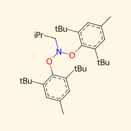 Cc1cc(C(C)(C)C)c(ON(CC(C)C)Oc2c(C(C)(C)C)cc(C)cc2C(C)(C)C)c(C(C)(C)C)c1